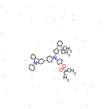 C=C(C)C(=O)Oc1ccc(N(c2ccc(-c3ccc4c(c3)c3ccccc3n4-c3ccccc3)cc2)c2ccc3c(c2)C(C)(C)c2ccccc2-3)cc1